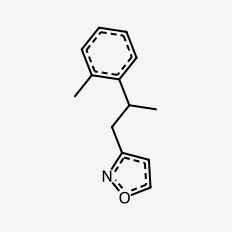 Cc1ccccc1C(C)Cc1ccon1